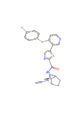 N#CN1CC2CCC1[C@@H]2NC(=O)c1ncc(-c2cnccc2Sc2ccc(F)cc2)s1